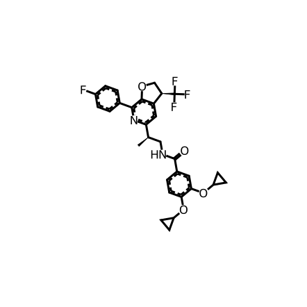 C[C@H](CNC(=O)c1ccc(OC2CC2)c(OC2CC2)c1)c1cc2c(c(-c3ccc(F)cc3)n1)OC[C@H]2C(F)(F)F